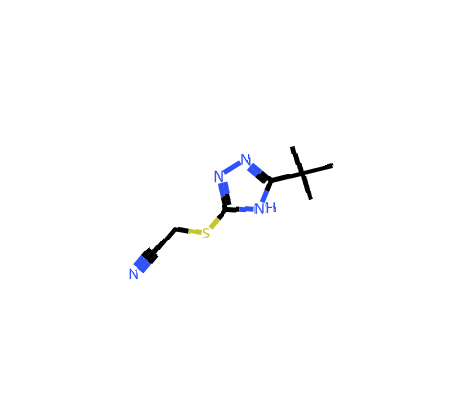 CC(C)(C)c1nnc(SCC#N)[nH]1